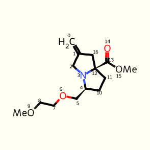 C=C1CN2[C@H](COCCOC)CC[C@@]2(C(=O)OC)C1